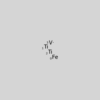 [Fe].[Ti].[Ti].[V]